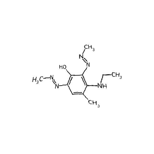 CCNc1c(C)cc(N=NC)c(O)c1N=NC